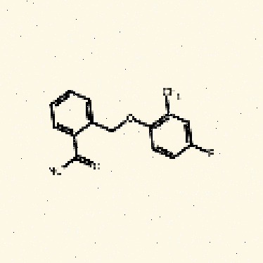 Cc1cc(F)ccc1OCc1ccccc1C(=O)C#N